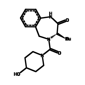 CC[C@H](C)[C@H]1C(=O)Nc2ccccc2CN1C(=O)N1CCC(O)CC1